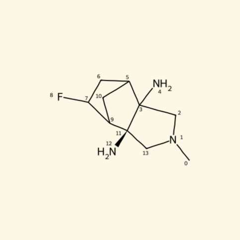 CN1CC2(N)C3CC(F)C(C3)[C@@]2(N)C1